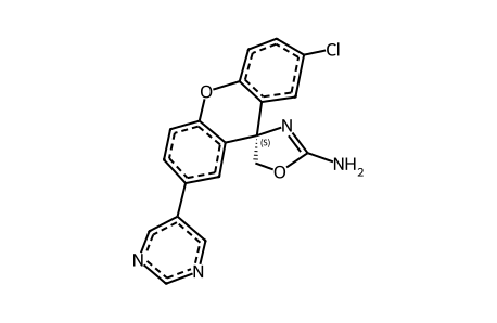 NC1=N[C@]2(CO1)c1cc(Cl)ccc1Oc1ccc(-c3cncnc3)cc12